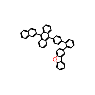 c1ccc(-c2ccc3oc4ccccc4c3c2)c(-c2ccc(-c3c4ccccc4c(-c4ccc5ccccc5c4)c4ccccc34)cc2)c1